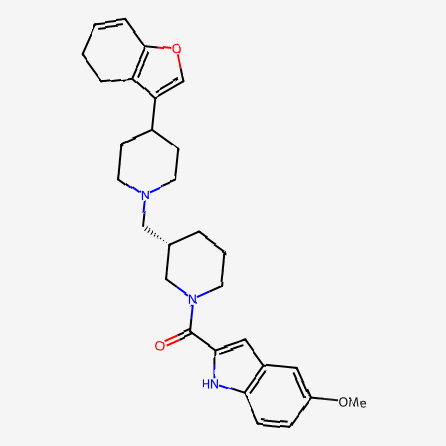 COc1ccc2[nH]c(C(=O)N3CCC[C@@H](CN4CCC(c5coc6c5CCC=C6)CC4)C3)cc2c1